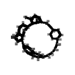 Fc1ccc2c(F)c1-c1cc3c(n[nH]c3cn1)-c1ccc3c(c1)CCN(CCCCN1CCC(CC1)O2)C3